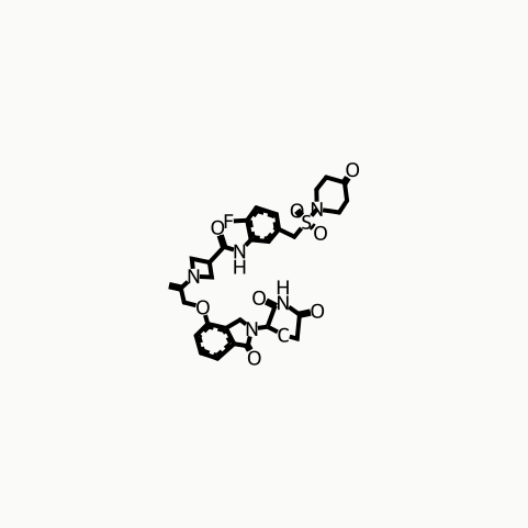 C=C(COc1cccc2c1CN(C1CCC(=O)NC1=O)C2=O)N1CC(C(=O)Nc2cc(CS(=O)(=O)N3CCC(=O)CC3)ccc2F)C1